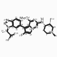 COc1nc(N[C@H]2CCN(C)C[C@H]2F)nn2cc(F)c(-c3ccc4nnn([C@@H](C)C(F)F)c4c3)c12